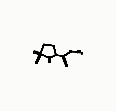 O=C(OP)C1CCS(=O)(=O)N1